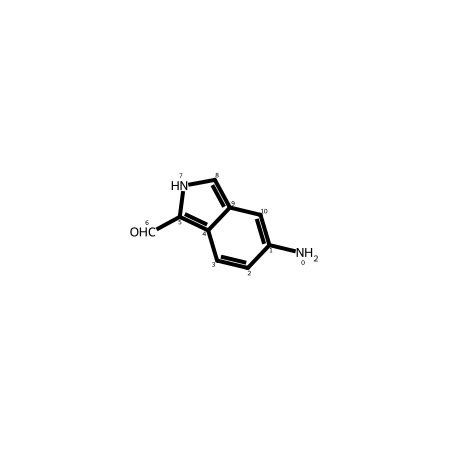 Nc1ccc2c(C=O)[nH]cc2c1